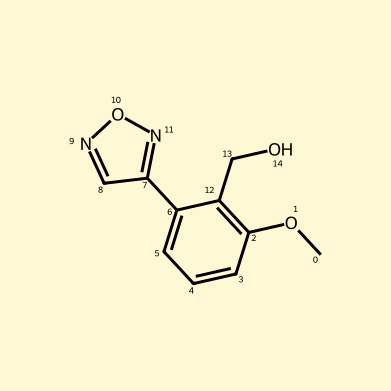 COc1cccc(-c2cnon2)c1CO